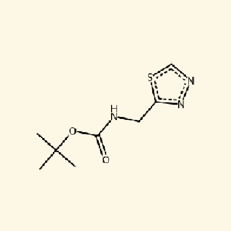 CC(C)(C)OC(=O)NCc1nn[c]s1